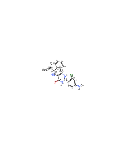 CCc1nc(-c2ccc(N(C)C)cc2Cl)n(C)c(=O)c1N[C@@H]1c2ccccc2C[C@@H]1OC(C)=O